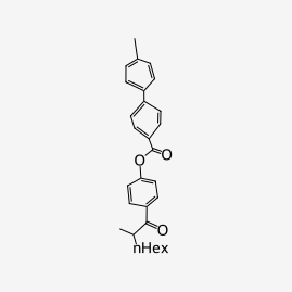 CCCCCCC(C)C(=O)c1ccc(OC(=O)c2ccc(-c3ccc(C)cc3)cc2)cc1